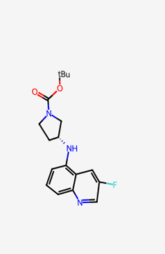 CC(C)(C)OC(=O)N1CC[C@@H](Nc2cccc3ncc(F)cc23)C1